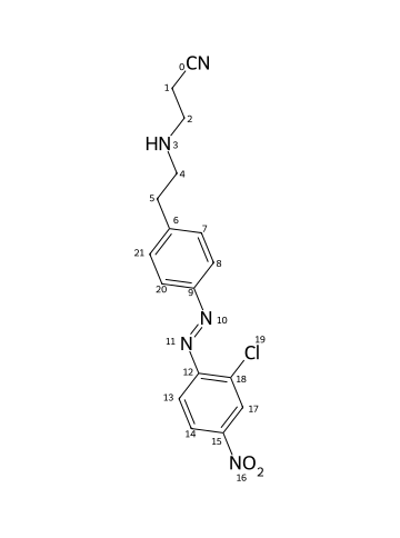 N#CCCNCCc1ccc(N=Nc2ccc([N+](=O)[O-])cc2Cl)cc1